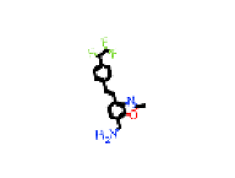 Cc1nc2c(C=Cc3ccc(C(F)C(F)F)cc3)ccc(CN)c2o1